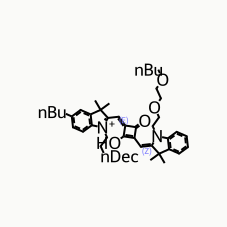 CCCCCCCCCCCC[N+]1=C(/C=C2/C(=O)C(/C=C3\N(CCOCCOCCCC)c4ccccc4C3(C)C)=C2O)C(C)(C)c2cc(CCCC)ccc21